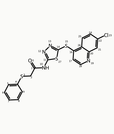 O=C(CSc1ccccc1)Nc1nnc(Sc2ccnc3cc(Cl)ccc23)s1